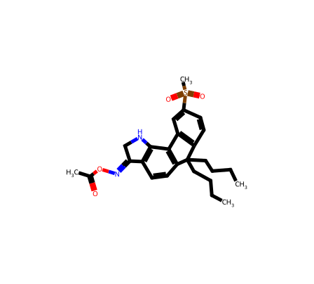 CCCCC1(CCCC)c2ccc(S(C)(=O)=O)cc2-c2c1ccc1c2NC/C1=N\OC(C)=O